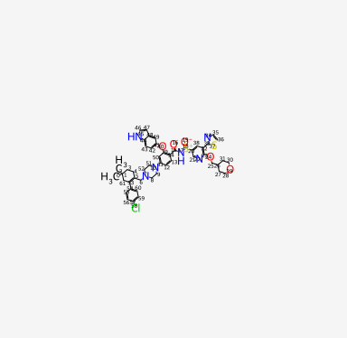 CC1(C)CCC(CN2CCN(c3ccc(C(=O)N[S+]([O-])c4cnc(OCC5CCOCC5)c(-c5nccs5)c4)c(Oc4ccc5[nH]ccc5c4)c3)CC2)=C(c2ccc(Cl)cc2)C1